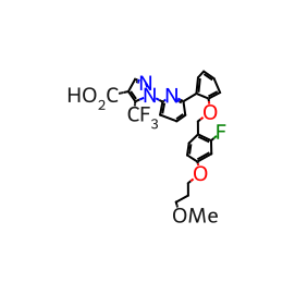 COCCCOc1ccc(COc2ccccc2-c2cccc(-n3ncc(C(=O)O)c3C(F)(F)F)n2)c(F)c1